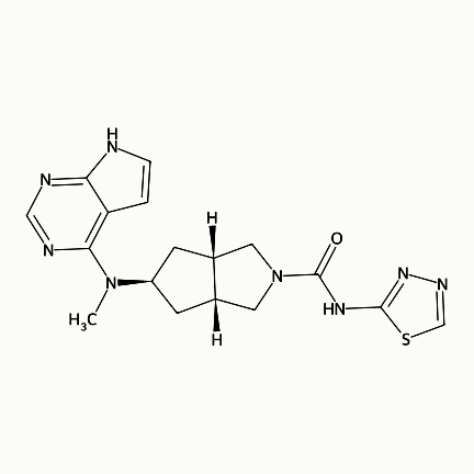 CN(c1ncnc2[nH]ccc12)[C@H]1C[C@@H]2CN(C(=O)Nc3nncs3)C[C@@H]2C1